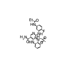 CCC(=O)Nc1ccc(F)c(Nc2ncc(C(N)=O)c(Nc3ccccc3NCS(C)(=O)=O)n2)c1